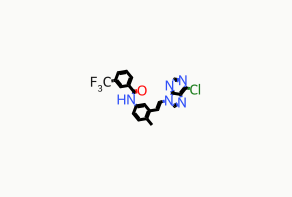 Cc1ccc(NC(=O)c2cccc(C(F)(F)F)c2)cc1C=Cn1cnc2c(Cl)ncnc21